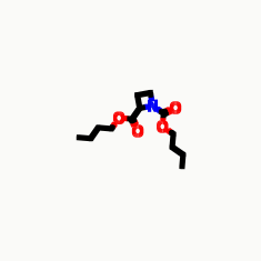 CCCCOC(=O)C1CCN1C(=O)OCCCC